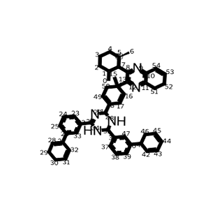 CC1CCC[C@@H](C)C1c1nc2c(nc1C1(C)C=CC(C3N=C(c4cccc(C5=CCCC=C5)c4)NC(c4cccc(C5C=CC=CC5)c4)N3)=CC1)CCC=C2